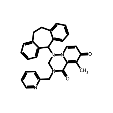 Cc1c2n(ccc1=O)N(C1c3ccccc3CCc3ccccc31)CN(Cc1ccccn1)C2=O